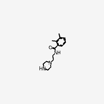 Cc1cccc(C(=O)NCCN2CCNCC2)c1C